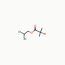 CCC(COC(=O)C(C)(C)Br)C(C)C